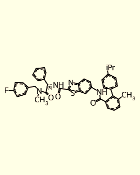 Cc1cccc(C(=O)Nc2ccc3nc(C(=O)N[C@H](C(=O)N(C)Cc4ccc(F)cc4)c4ccccc4)sc3c2)c1-c1ccc(C(C)C)cc1